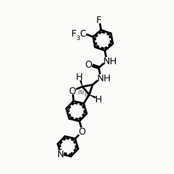 O=C(Nc1ccc(F)c(C(F)(F)F)c1)NC1[C@H]2Oc3ccc(Oc4ccncc4)cc3[C@@H]12